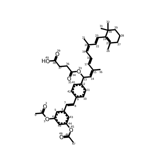 CC(=O)Oc1cc(C=Cc2ccc(C(C=C(C)C=CC=C(C)C=CC3=C(C)CCCC3(C)C)OC(=O)CCC(=O)O)cc2)cc(OC(C)=O)c1